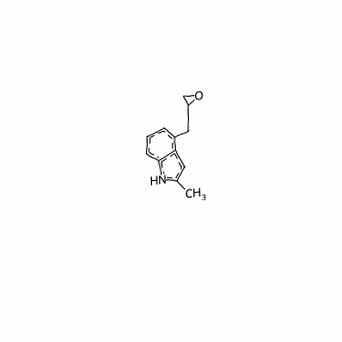 Cc1cc2c(CC3CO3)cccc2[nH]1